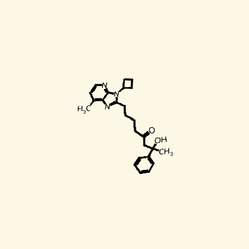 Cc1ccnc2c1nc(CCCCC(=O)CC(C)(O)c1ccccc1)n2C1CCC1